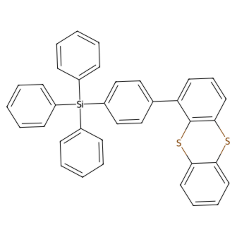 c1ccc([Si](c2ccccc2)(c2ccccc2)c2ccc(-c3cccc4c3Sc3ccccc3S4)cc2)cc1